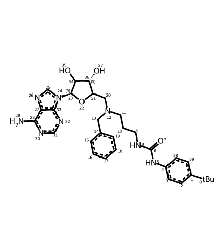 CC(C)(C)c1ccc(NC(=O)NCCCN(Cc2ccccc2)CC2O[C@@H](n3cnc4c(N)ncnc43)C(O)[C@@H]2O)cc1